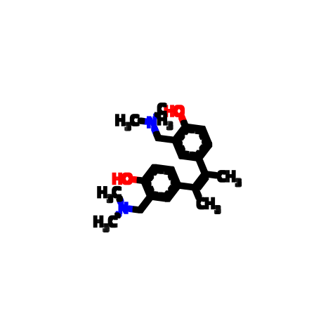 C/C(=C(\C)c1ccc(O)c(CN(C)C)c1)c1ccc(O)c(CN(C)C)c1